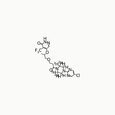 [2H]C1([2H])N(C(=O)CCOCC(C)Oc2cn[nH]c(=O)c2C(F)(F)F)C([2H])([2H])C([2H])([2H])N(c2ncc(Cl)cn2)C1([2H])[2H]